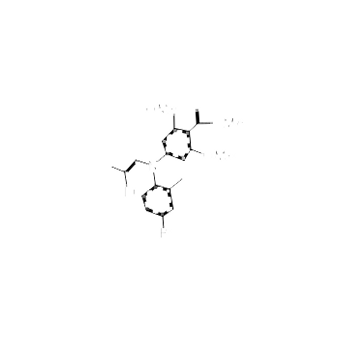 CC/C(C)=C\N(c1cc(OC)c(C(=O)OC)c(OC)c1)c1ccc(Br)cc1C